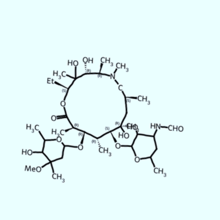 CC[C@@H]1OC(=O)[C@H](C)[C@H](OC2CC(C)(OC)C(O)C(C)O2)[C@@H](C)[C@H](OC2OC(C)CC(NC=O)C2O)[C@](C)(O)C[C@H](C)CN(C)[C@H](C)[C@@H](O)C1(C)O